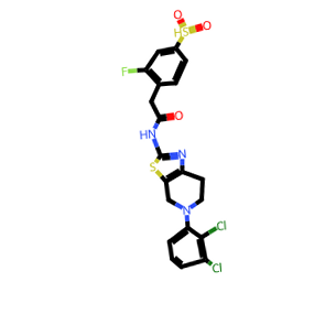 O=C(Cc1ccc([SH](=O)=O)cc1F)Nc1nc2c(s1)CN(c1cccc(Cl)c1Cl)CC2